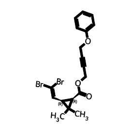 CC1(C)[C@H](C(=O)OCC#CCOc2ccccc2)[C@@H]1C=C(Br)Br